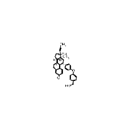 CC#C[C@]1(O)CC[C@H]2[C@@H]3CCC4=CC(=O)CCC4=C3[C@@H](c3ccc(Oc4ccc(CO)cc4)cc3)C[C@@]21C